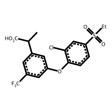 CCS(=O)(=O)c1ccc(Oc2cc(C(C)C(=O)O)cc(C(F)(F)F)c2)c(Cl)c1